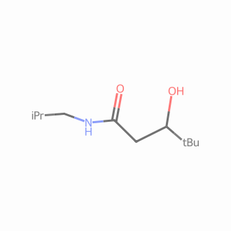 CC(C)CNC(=O)CC(O)C(C)(C)C